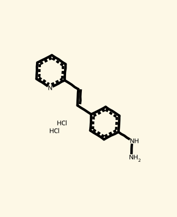 Cl.Cl.NNc1ccc(C=Cc2ccccn2)cc1